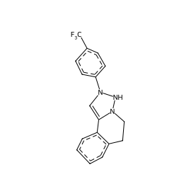 FC(F)(F)c1ccc(N2C=C3c4ccccc4CCN3N2)cc1